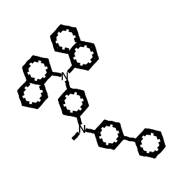 CN(c1ccc(-c2ccccc2)cc1)c1ccc(N(c2cccc3ccccc23)c2cccc3ccccc23)cc1